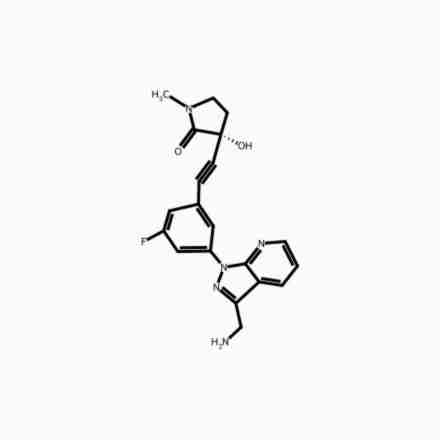 CN1CC[C@@](O)(C#Cc2cc(F)cc(-n3nc(CN)c4cccnc43)c2)C1=O